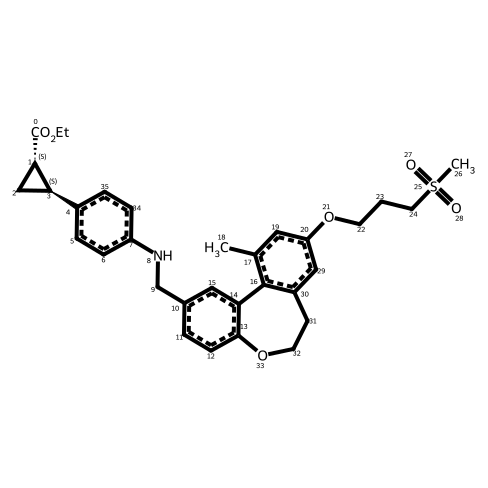 CCOC(=O)[C@H]1C[C@@H]1c1ccc(NCc2ccc3c(c2)-c2c(C)cc(OCCCS(C)(=O)=O)cc2CCO3)cc1